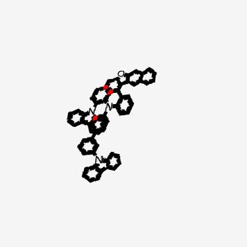 c1cc(-c2ccc(N(c3ccccc3-c3cccc4oc5cc6ccccc6cc5c34)c3ccccc3-n3c4ccccc4c4ccccc43)cc2)cc(-n2c3ccccc3c3ccccc32)c1